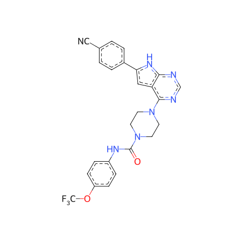 N#Cc1ccc(-c2cc3c(N4CCN(C(=O)Nc5ccc(OC(F)(F)F)cc5)CC4)ncnc3[nH]2)cc1